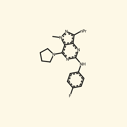 CCCc1nn(C)c2c(N3CCCC3)nc(Nc3ccc(F)cc3)nc12